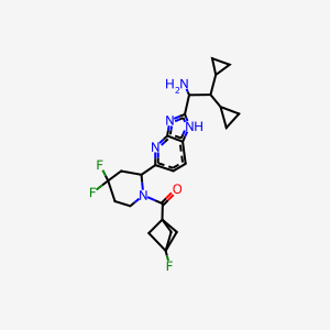 NC(c1nc2nc(C3CC(F)(F)CCN3C(=O)C34CC(F)(C3)C4)ccc2[nH]1)C(C1CC1)C1CC1